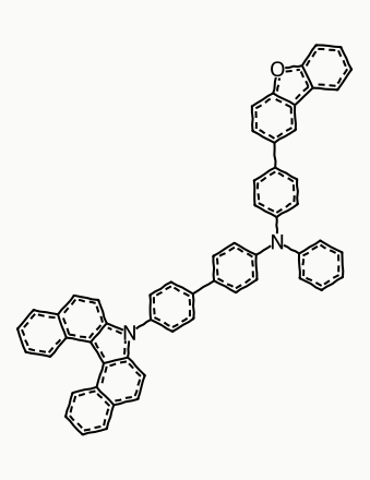 c1ccc(N(c2ccc(-c3ccc(-n4c5ccc6ccccc6c5c5c6ccccc6ccc54)cc3)cc2)c2ccc(-c3ccc4oc5ccccc5c4c3)cc2)cc1